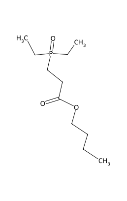 CCCCOC(=O)CCP(=O)(CC)CC